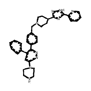 c1ccc(-c2cc(N3CCNCC3)nnc2-c2ccc(CN3CCC(c4n[nH]c(-c5ccccn5)n4)CC3)cc2)cc1